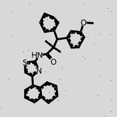 COc1cccc(C(c2ccccc2)C(C)(C)C(=O)Nc2nc(-c3cccc4ccccc34)cs2)c1